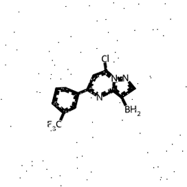 Bc1cnn2c(Cl)cc(-c3cccc(C(F)(F)F)c3)nc12